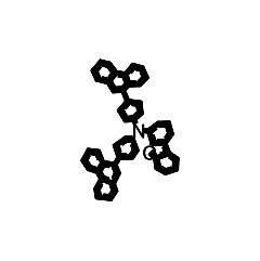 c1ccc2c(c1)cc(-c1ccc(N(c3ccc(-c4cc5ccccc5c5ccccc45)cc3)c3cccc4c3oc3ccccc34)cc1)c1ccccc12